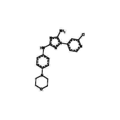 Nc1nc(Nc2ccc(N3CCOCC3)cc2)nn1-c1ccnc(Cl)c1